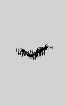 COc1c(NC(=O)CNC(=O)c2ccc(NC(=O)/C(C)=C/c3ccc(O)cc3)cc2)ccc(C(=O)Nc2ccc(C(=O)Nc3ccc(C(=O)O)cc3)c(O)c2OC)c1O